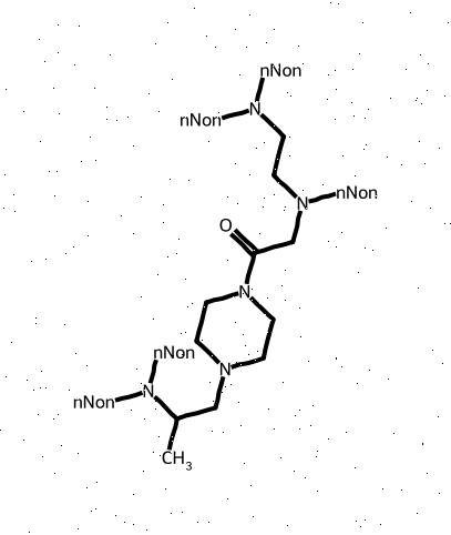 CCCCCCCCCN(CCCCCCCCC)CCN(CCCCCCCCC)CC(=O)N1CCN(CC(C)N(CCCCCCCCC)CCCCCCCCC)CC1